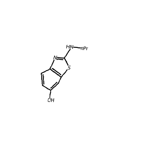 CCCNc1nc2ccc(O)cc2s1